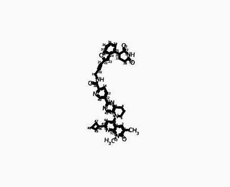 Cc1cc2c(N3CCCc4nc(-c5ccc(C(=O)NCC#Cc6cc7c(C8CCC(=O)NC8=O)cccc7o6)nc5)ncc43)cc(C3CCC3)nc2n(C)c1=O